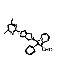 Cc1cc(C)nc(-n2cc3c(c2)CN(c2c(-c4ccccc4)c(C=O)c4ccccn24)C3)n1